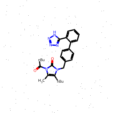 CCCCC(=O)n1c(C)c(CCCC)n(Cc2ccc(-c3ccccc3-c3nnn[nH]3)cc2)c1=O